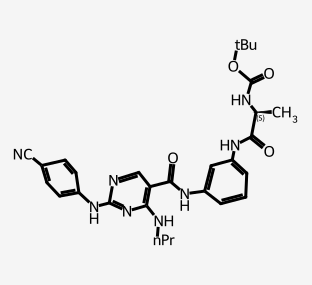 CCCNc1nc(Nc2ccc(C#N)cc2)ncc1C(=O)Nc1cccc(NC(=O)[C@H](C)NC(=O)OC(C)(C)C)c1